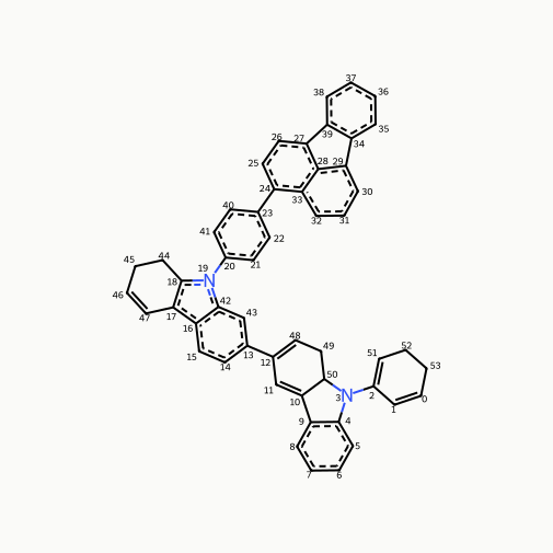 C1=CC(N2c3ccccc3C3=CC(c4ccc5c6c(n(-c7ccc(-c8ccc9c%10c(cccc8%10)-c8ccccc8-9)cc7)c5c4)CCC=C6)=CCC32)=CCC1